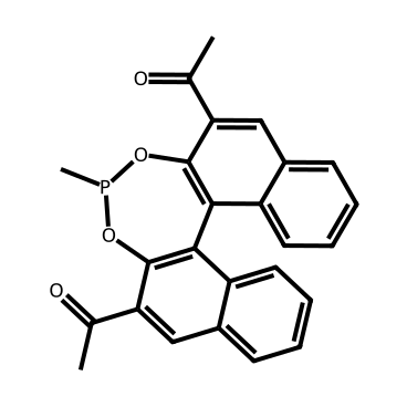 CC(=O)c1cc2ccccc2c2c1op(C)oc1c(C(C)=O)cc3ccccc3c12